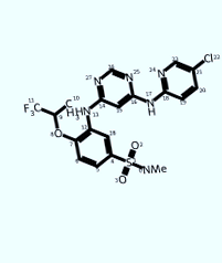 CNS(=O)(=O)c1ccc(OC(C)C(F)(F)F)c(Nc2cc(Nc3ccc(Cl)cn3)ncn2)c1